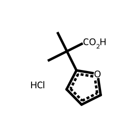 CC(C)(C(=O)O)c1ccco1.Cl